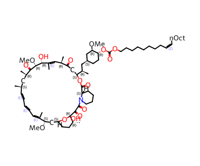 CCCCCCCC/C=C\CCCCCCCCOC(=O)O[C@@H]1CC[C@@H](C[C@@H](C)[C@@H]2CC(=O)[C@H](C)/C=C(\C)[C@@H](O)[C@@H](OC)C(=O)[C@H](C)C[C@H](C)/C=C/C=C/C=C(\C)[C@@H](OC)C[C@@H]3CC[C@@H](C)[C@@](O)(O3)C(=O)C(=O)N3CCCC[C@H]3C(=O)O2)C[C@H]1OC